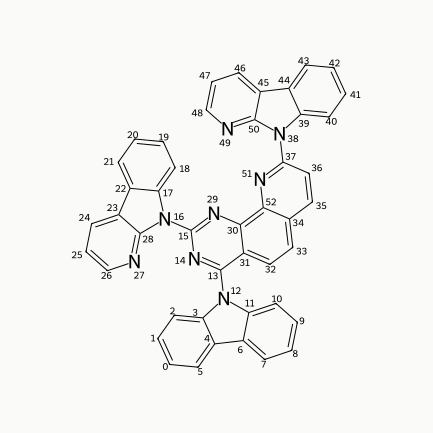 c1ccc2c(c1)c1ccccc1n2-c1nc(-n2c3ccccc3c3cccnc32)nc2c1ccc1ccc(-n3c4ccccc4c4cccnc43)nc12